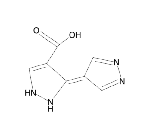 O=C(O)C1=CNNC1=C1C=NN=C1